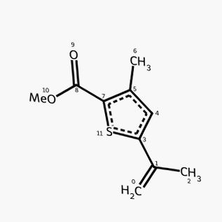 C=C(C)c1cc(C)c(C(=O)OC)s1